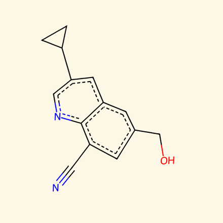 N#Cc1cc(CO)cc2cc(C3CC3)cnc12